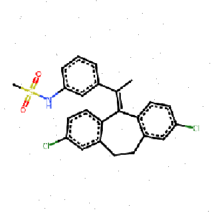 CC(=C1c2ccc(Cl)cc2CCc2cc(Cl)ccc21)c1cccc(NS(C)(=O)=O)c1